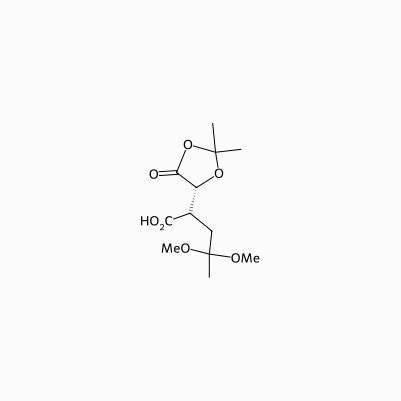 COC(C)(CC(C(=O)O)[C@H]1OC(C)(C)OC1=O)OC